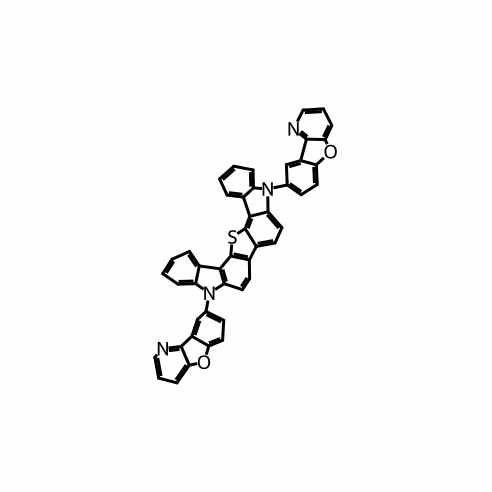 c1cnc2c(c1)oc1ccc(-n3c4ccccc4c4c5sc6c(ccc7c6c6ccccc6n7-c6ccc7oc8cccnc8c7c6)c5ccc43)cc12